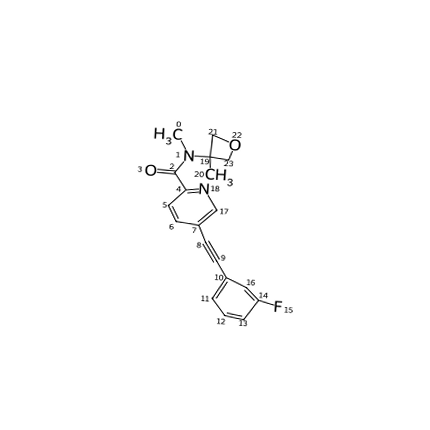 CN(C(=O)c1ccc(C#Cc2cccc(F)c2)cn1)C1(C)COC1